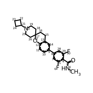 CNC(=O)c1c(F)cc(-c2ccc3c(c2)CCC2(CCN(C4CCC4)CC2)O3)cc1F